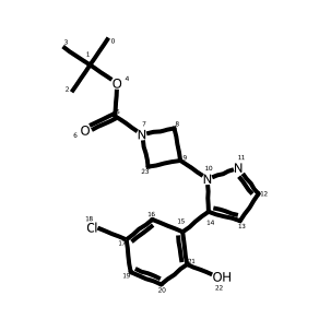 CC(C)(C)OC(=O)N1CC(n2nccc2-c2cc(Cl)ccc2O)C1